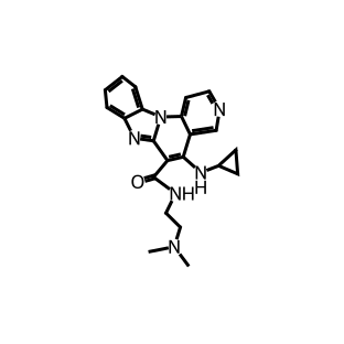 CN(C)CCNC(=O)c1c(NC2CC2)c2cnccc2n2c1nc1ccccc12